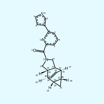 O=C(c1cccc(-c2ccsc2)n1)N1CC2[C@@H](C1)[C@H]1C=C[C@@H]2[C@@H]2C[C@H]12